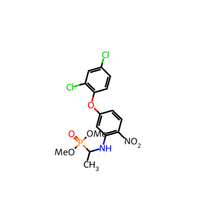 COP(=O)(OC)C(C)Nc1cc(Oc2ccc(Cl)cc2Cl)ccc1[N+](=O)[O-]